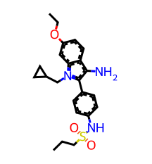 CCCS(=O)(=O)Nc1ccc(-c2c(N)c3ccc(OCC)cc3n2CC2CC2)cc1